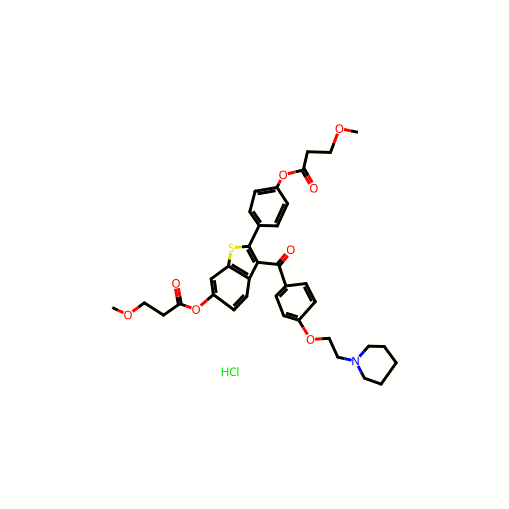 COCCC(=O)Oc1ccc(-c2sc3cc(OC(=O)CCOC)ccc3c2C(=O)c2ccc(OCCN3CCCCC3)cc2)cc1.Cl